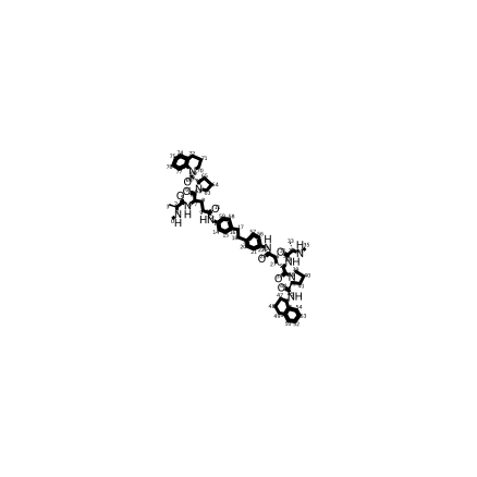 CN[C@@H](C)C(=O)NC(CCC(=O)Nc1ccc(CCc2ccc(NC(=O)CC[C@H](NC(=O)[C@H](C)NC)C(=O)N3CCC[C@H]3C(=O)N[C@@H]3CCCc4ccccc43)cc2)cc1)C(=O)N1CCC[C@H]1C(=O)N1CCCc2ccccc21